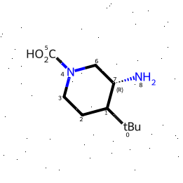 CC(C)(C)C1CCN(C(=O)O)C[C@@H]1N